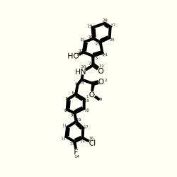 COC(=O)C(Cc1ccc(-c2ccc(F)c(Cl)c2)cc1)NC(=O)c1cc2ccccc2cc1O